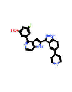 Oc1cc(F)cc(-c2nccc3[nH]c(-c4n[nH]c5ccc(C6CCNCC6)cc45)cc23)c1